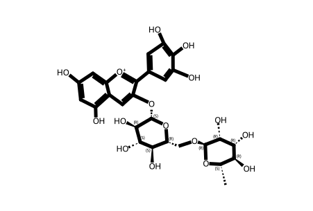 C[C@@H]1O[C@@H](OC[C@H]2O[C@@H](Oc3cc4c(O)cc(O)cc4[o+]c3-c3cc(O)c(O)c(O)c3)[C@H](O)[C@@H](O)[C@@H]2O)[C@H](O)[C@H](O)[C@H]1O